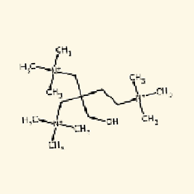 C[N+](C)(C)CCC(CO)(C[N+](C)(C)C)C[N+](C)(C)C